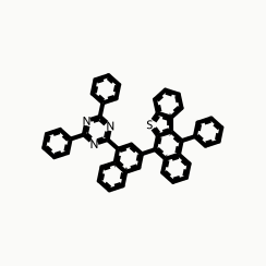 c1ccc(-c2nc(-c3ccccc3)nc(-c3cc(-c4c5ccccc5c(-c5ccccc5)c5c4sc4ccccc45)cc4ccccc34)n2)cc1